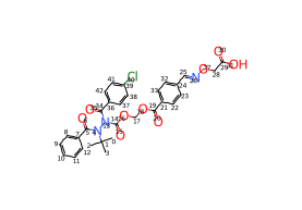 CC(C)(C)N(C(=O)c1ccccc1)N(C(=O)OCOC(=O)c1ccc(/C=N/OCC(=O)O)cc1)C(=O)c1ccc(Cl)cc1